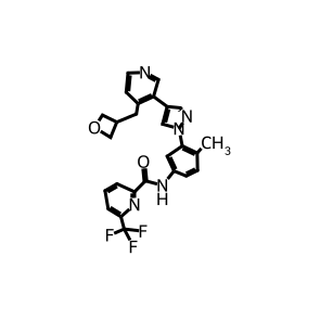 Cc1ccc(NC(=O)c2cccc(C(F)(F)F)n2)cc1-n1cc(-c2cnccc2CC2COC2)cn1